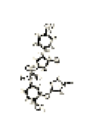 CN1CC[C@@H](Oc2cc(NS(=O)(=O)c3cc(-c4ccc(C#N)cc4)c(Cl)s3)ccc2C(F)(F)F)C1